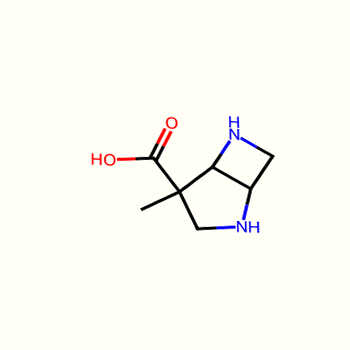 CC1(C(=O)O)CNC2CNC21